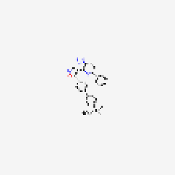 Cc1noc(-c2ccc(-c3ccc(C(C)(C)C(=O)O)cc3)cc2)c1-c1nc(-c2ccccc2)ccc1N